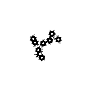 CC1(C)c2ccccc2Sc2cc(N(c3ccc(-c4ccc5c(c4)c4ccccc4n5-c4ccccc4)cc3)c3ccc4ccccc4c3)ccc21